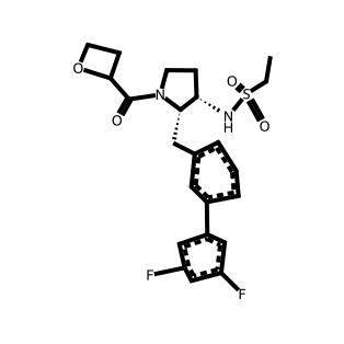 CCS(=O)(=O)N[C@H]1CCN(C(=O)C2CCO2)[C@H]1Cc1cccc(-c2cc(F)cc(F)c2)c1